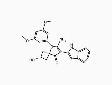 COc1cc(OC)cc(N2C(N)=C(c3nc4ccccc4[nH]3)C(=O)[C@]23C[C@@H](O)C3)c1